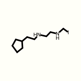 ICNCCNCCC1CCCC1